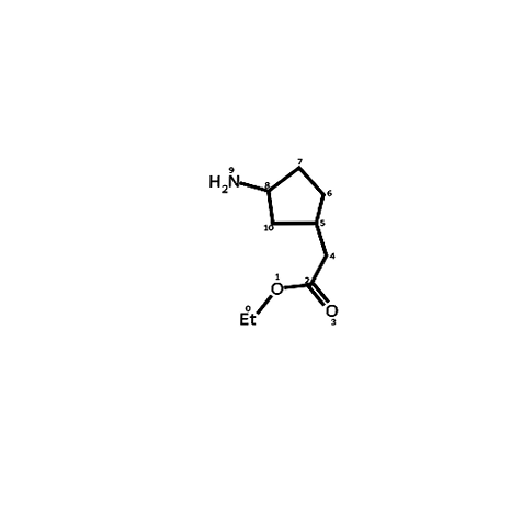 CCOC(=O)CC1CCC(N)C1